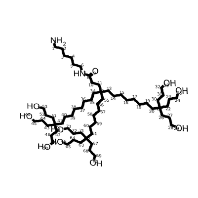 NCCCCCCNC(=O)CCC(CCCCCCCCC(CCCO)(CCCO)CCCO)(CCCCCCCCC(CCCO)(CCCO)CCCO)CCCCCCCC(CCCO)(CCCO)CCCO